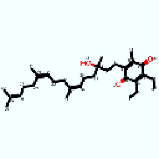 CCC1=C(CC)C(=O)C(CCC(C)(O)CCC=C(C)CCC=C(C)CCC=C(C)C)=C(C)C1=O